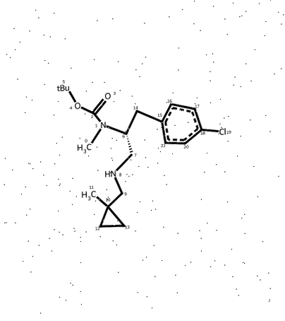 CN(C(=O)OC(C)(C)C)[C@@H](CNCC1(C)CC1)Cc1ccc(Cl)cc1